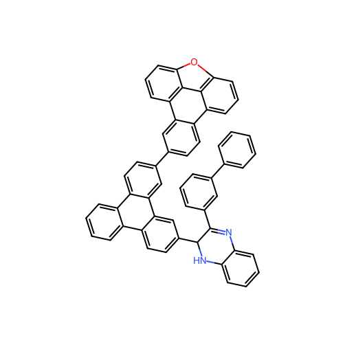 c1ccc(-c2cccc(C3=Nc4ccccc4NC3c3ccc4c5ccccc5c5ccc(-c6ccc7c(c6)c6cccc8oc9cccc7c9c86)cc5c4c3)c2)cc1